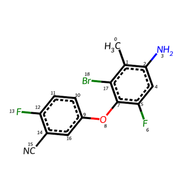 Cc1c(N)cc(F)c(Oc2ccc(F)c(C#N)c2)c1Br